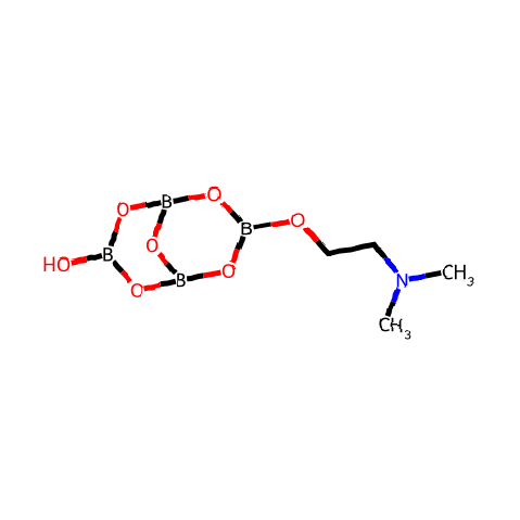 CN(C)CCOB1OB2OB(O)OB(O1)O2